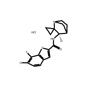 Cl.O=C(N[C@@H]1C2CCN(CC2)C12CC2)c1cc2ccc(Cl)c(F)c2s1